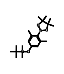 Cc1cc(O[Si](C)(C)C(C)(C)C)cc(C)c1B1OC(C)(C)C(C)(C)O1